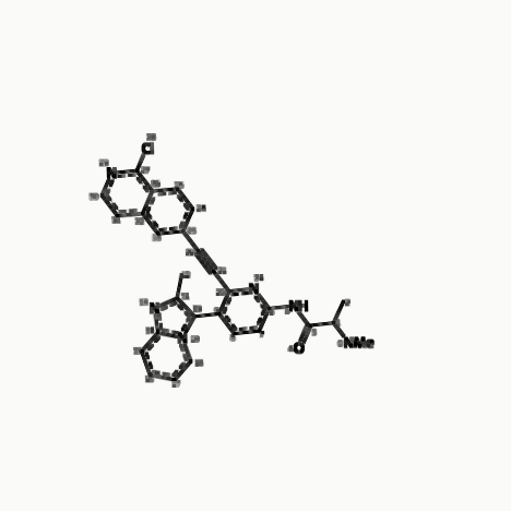 CNC(C)C(=O)Nc1ccc(-c2c(C)nc3ccccn23)c(C#Cc2ccc3c(Cl)nccc3c2)n1